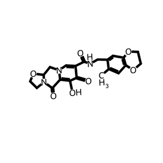 Cc1cc2c(cc1CNC(=O)c1cn3c(c(O)c1=O)C(=O)N1CCOC1C3)OCCO2